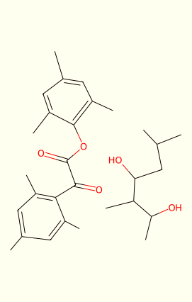 CC(C)CC(O)C(C)C(C)O.Cc1cc(C)c(OC(=O)C(=O)c2c(C)cc(C)cc2C)c(C)c1